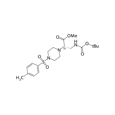 COC(=O)[C@H](CNC(=O)OC(C)(C)C)N1CCN(S(=O)(=O)c2ccc(C)cc2)CC1